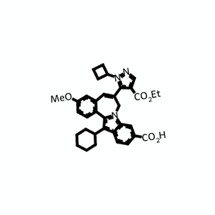 CCOC(=O)c1cnn(C2CCC2)c1C1=Cc2cc(OC)ccc2-c2c(C3CCCCC3)c3ccc(C(=O)O)cc3n2C1